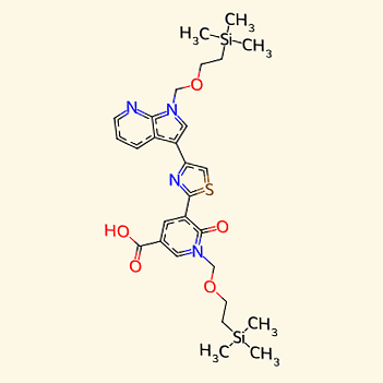 C[Si](C)(C)CCOCn1cc(C(=O)O)cc(-c2nc(-c3cn(COCC[Si](C)(C)C)c4ncccc34)cs2)c1=O